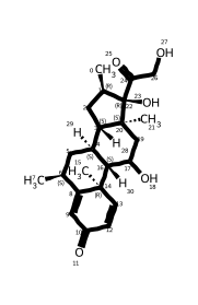 C[C@@H]1C[C@H]2[C@@H]3C[C@H](C)C4=CC(=O)C=C[C@]4(C)[C@H]3C(O)C[C@]2(C)[C@@]1(O)C(=O)CO